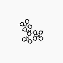 c1ccc([Si](c2ccccc2)(c2ccccc2)c2cccc(-c3cc(-n4c5ccccc5c5ccccc54)cc(-c4cccc([Si](c5ccccc5)(c5ccccc5)c5ccccc5)c4)n3)c2)cc1